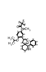 CC(C)Oc1ccc(N(C)C(=O)C(F)(F)F)cc1C1COC2(CCCNC2c2ccccc2)C1